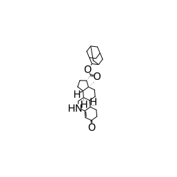 C[C@]12CC[C@H]3[C@@H](CNC4=CC(=O)CC[C@@]43C)[C@@H]1CC[C@@H]2C(=O)OC1C2CC3CC(C2)CC1C3